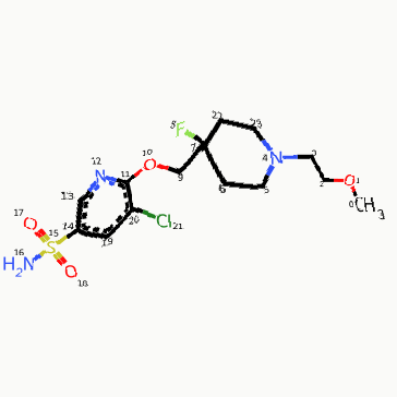 COCCN1CCC(F)(COc2ncc(S(N)(=O)=O)cc2Cl)CC1